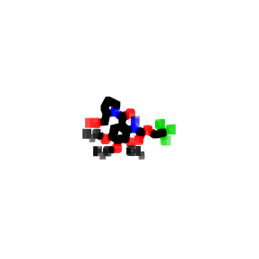 COc1cc(C(=O)N2CCCC2CO)c(NC(=O)OCC(Cl)(Cl)Cl)c(OC)c1OC